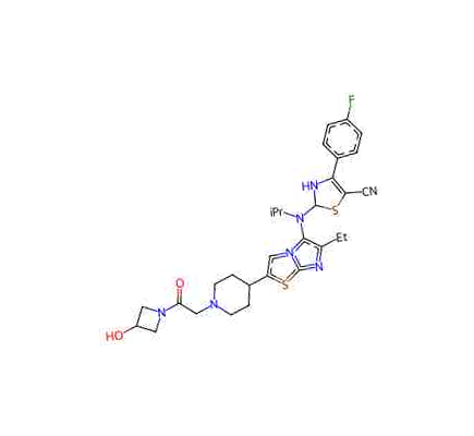 CCc1nc2sc(C3CCN(CC(=O)N4CC(O)C4)CC3)cn2c1N(C(C)C)C1NC(c2ccc(F)cc2)=C(C#N)S1